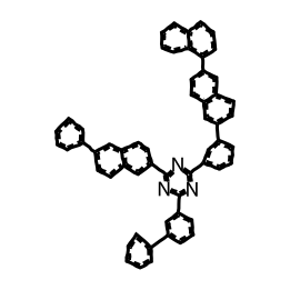 c1ccc(-c2cccc(-c3nc(-c4cccc(-c5ccc6cc(-c7cccc8ccccc78)ccc6c5)c4)nc(-c4ccc5cc(-c6ccccc6)ccc5c4)n3)c2)cc1